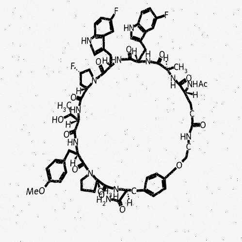 COc1ccc(C[C@@H]2NC(=O)[C@H]([C@@H](C)O)NC(=O)[C@@H]3C[C@H](F)CN3C(=O)[C@H](Cc3c[nH]c4ccc(F)cc34)NC(=O)[C@H](Cc3c[nH]c4ccc(F)cc34)NC(=O)[C@@H](C)NC(=O)[C@H](NC(C)=O)CCC(=O)NCCOc3ccc(cc3)C[C@@H](C(N)=O)NC(=O)[C@]3(C)CCCN3C2=O)cc1